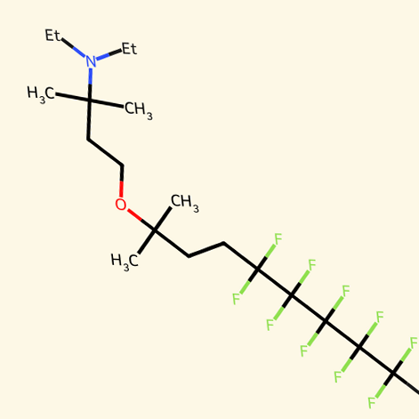 CCN(CC)C(C)(C)CCOC(C)(C)CCC(F)(F)C(F)(F)C(F)(F)C(F)(F)C(F)(F)C(F)(F)F